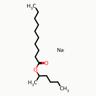 CCCCCCCCCC(=O)OC(C)CCCC.[Na]